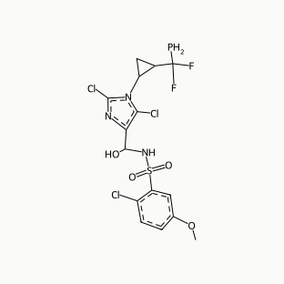 COc1ccc(Cl)c(S(=O)(=O)NC(O)c2nc(Cl)n(C3CC3C(F)(F)P)c2Cl)c1